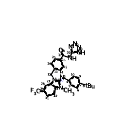 Cn1/c(=N\c2ccc(C(C)(C)C)cc2)n(Cc2ccc(C(=O)Nc3nnn[nH]3)cc2)c2cc(C(F)(F)F)ccc21